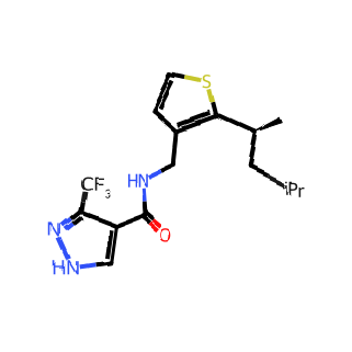 CC(C)C[C@H](C)c1sccc1CNC(=O)c1c[nH]nc1C(F)(F)F